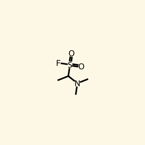 CC(N(C)C)S(=O)(=O)F